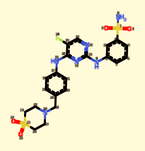 NS(=O)(=O)c1cccc(Nc2ncc(F)c(Nc3ccc(CN4CCS(=O)(=O)CC4)cc3)n2)c1